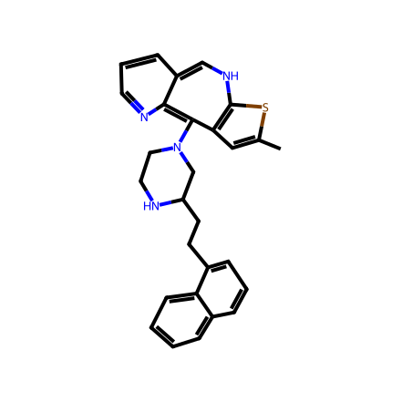 Cc1cc2c(s1)NC=c1cccnc1=C2N1CCNC(CCc2cccc3ccccc23)C1